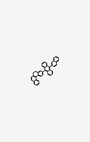 c1ccc2cc(-c3c4ccccc4c(-c4ccc5c(c4)CCc4ccc6ccccc6c4-5)c4ccccc34)ccc2c1